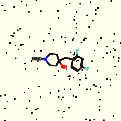 O=C(O)N1CCC(O)(Cc2ccc(F)cc2F)CC1